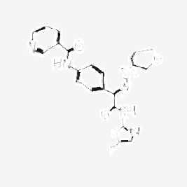 O=C(Nc1ncc(F)s1)/C(=N/O[C@@H]1CCOC1)c1ccc(NC(=O)c2cccnc2)cc1